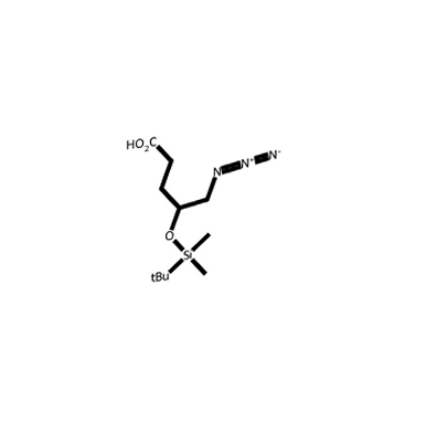 CC(C)(C)[Si](C)(C)OC(CCC(=O)O)CN=[N+]=[N-]